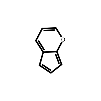 c1coc2cccc-2c1